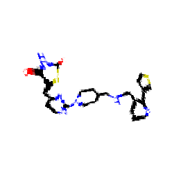 O=C1NC(=O)C(=Cc2ccnc(N3CCC(CNCc4cccnc4-c4ccsc4)CC3)n2)S1